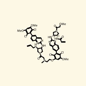 C=CCNC1CN(C(=O)CN(C)CCOc2cc(OC)c(Cl)c(-c3ccc4nc(N[C@@H]5CN(C(=O)COC)C[C@@H]5NC(=O)C=C)ncc4c3)c2Cl)CC1Nc1ncc2cc(-c3c(Cl)c(OC)cc(OC)c3Cl)ccc2n1